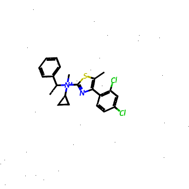 Cc1sc([N+](C)(C2CC2)C(C)c2ccccc2)nc1-c1ccc(Cl)cc1Cl